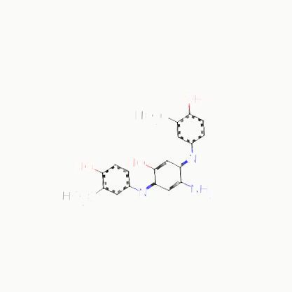 NC1=CC(=Nc2ccc(O)c(C(=O)O)c2)C(O)=CC1=Nc1ccc(O)c(C(=O)O)c1